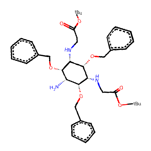 CC(C)(C)OC(=O)CN[C@@H]1[C@H](OCc2ccccc2)[C@H](NCC(=O)OC(C)(C)C)[C@H](OCc2ccccc2)[C@H](N)[C@@H]1OCc1ccccc1